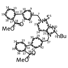 CCCCc1nc2c(=S)n(Cc3ccc(-c4ccccc4C(=O)OC)cc3)ccc2n1Cc1ccc(-c2ccccc2C(=O)OC)cc1